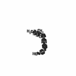 Cc1nc2nc(C)c(C[C@@H]3CCN(c4cnc(-c5ccc(CN6CCN(CCO)CC6)cc5)nc4)C3)c(C)n2n1